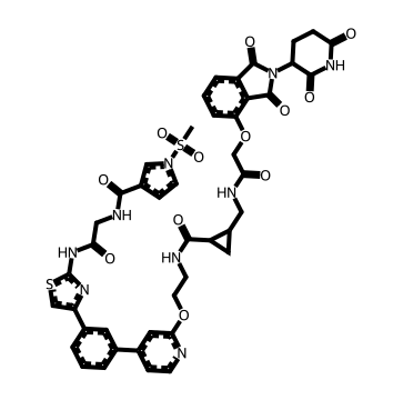 CS(=O)(=O)n1ccc(C(=O)NCC(=O)Nc2nc(-c3cccc(-c4ccnc(OCCNC(=O)C5CC5CNC(=O)COc5cccc6c5C(=O)N(C5CCC(=O)NC5=O)C6=O)c4)c3)cs2)c1